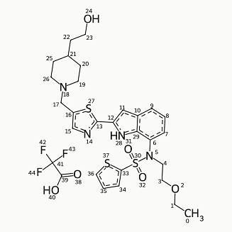 CCOCCN(c1cccc2cc(-c3ncc(CN4CCC(CCO)CC4)s3)[nH]c12)S(=O)(=O)c1cccs1.O=C(O)C(F)(F)F